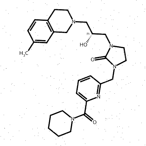 Cc1ccc2c(c1)CN(C[C@@H](O)CN1CCN(Cc3cccc(C(=O)N4CCCCC4)n3)C1=O)CC2